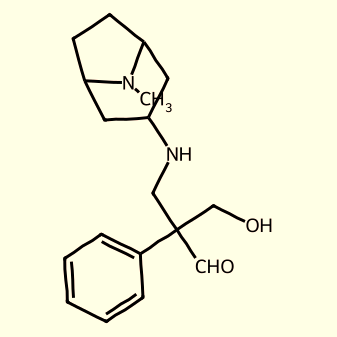 CN1C2CCC1CC(NCC(C=O)(CO)c1ccccc1)C2